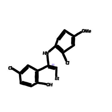 CC/C=C(/Nc1ccc(OC)cc1Cl)c1cc(Cl)ccc1O